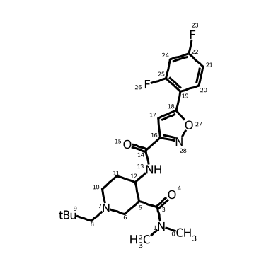 CN(C)C(=O)C1CN(CC(C)(C)C)CCC1NC(=O)c1cc(-c2ccc(F)cc2F)on1